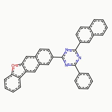 c1ccc(-c2nc(-c3ccc4ccccc4c3)nc(-c3ccc4cc5oc6ccccc6c5cc4c3)n2)cc1